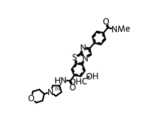 CNC(=O)c1ccc(-c2cn3c(n2)sc2cc(C(=O)N[C@H]4CCN(C5CCOCC5)C4)ccc23)cc1.O=CO